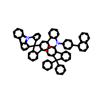 c1ccc(C2(c3ccccc3)c3ccccc3-c3c(N(c4ccc(-c5cccc6ccccc56)cc4)c4ccccc4-c4ccc5c(c4)C4(c6ccccc6-5)c5ccccc5-n5c6ccccc6c6cccc4c65)cccc32)cc1